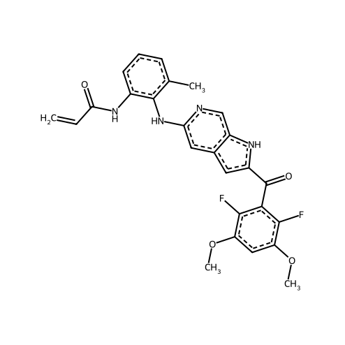 C=CC(=O)Nc1cccc(C)c1Nc1cc2cc(C(=O)c3c(F)c(OC)cc(OC)c3F)[nH]c2cn1